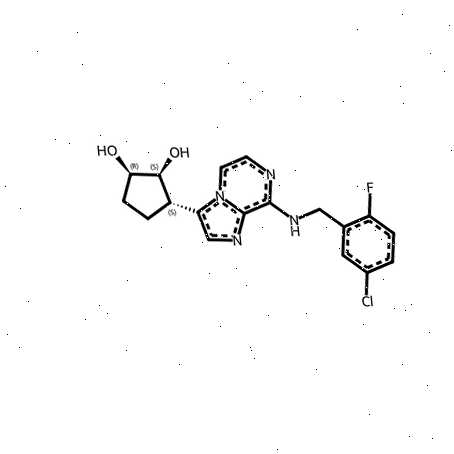 O[C@@H]1[C@H](O)CC[C@H]1c1cnc2c(NCc3cc(Cl)ccc3F)nccn12